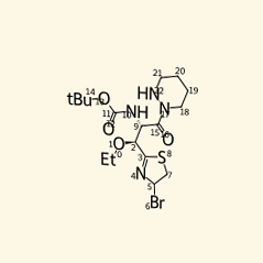 CCO[C@H](C1=NC(Br)CS1)[C@H](NC(=O)OC(C)(C)C)C(=O)N1CCCCN1